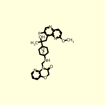 COc1ccc2ncc(F)c(CC(C)(O)C34CCC(NCN5C(=O)COc6cccnc65)(CC3)CO4)c2n1